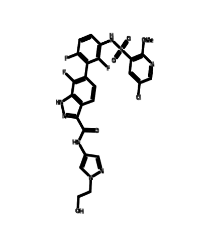 COc1ncc(Cl)cc1S(=O)(=O)Nc1ccc(F)c(-c2ccc3c(C(=O)Nc4cnn(CCO)c4)n[nH]c3c2F)c1F